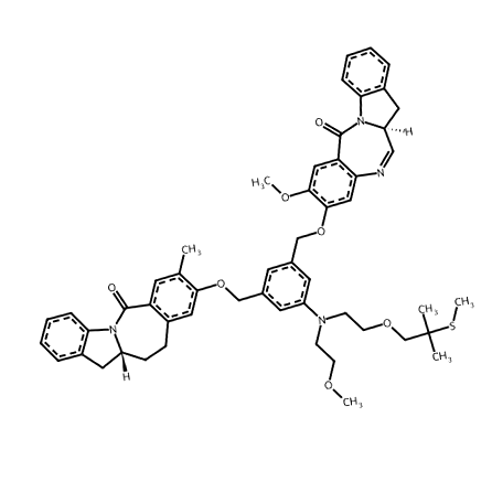 COCCN(CCOCC(C)(C)SC)c1cc(COc2cc3c(cc2C)C(=O)N2c4ccccc4C[C@H]2CC3)cc(COc2cc3c(cc2OC)C(=O)N2c4ccccc4C[C@H]2C=N3)c1